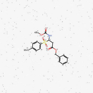 CCCCOC(=O)NC(CC(=O)OCc1ccccc1)S(=O)(=O)c1ccc(OC)cc1